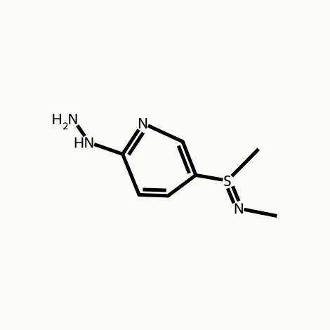 C/N=S(\C)c1ccc(NN)nc1